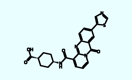 O=C(N[C@H]1CC[C@@H](C(=O)O)CC1)c1cccn2c(=O)c3cc(-c4cncs4)ccc3nc12